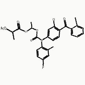 CC(=O)OC(C)C(=O)OC(C)OC(=O)N(c1ccc(C(=O)c2ccccc2C)c(Cl)c1)c1ccc(F)cc1C